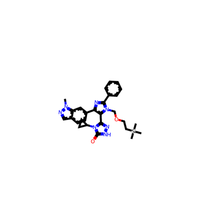 Cn1ncc2ccc(-c3nc(-c4ccccc4)n(COCC[Si](C)(C)C)c3-c3n[nH]c(=O)n3C3CC3)cc21